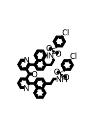 O=C(c1cccnc1-c1ccc(CCNS(=O)(=O)c2ccc(Cl)cc2)c2ccccc12)c1cccnc1-c1ccc(CCNS(=O)(=O)c2ccc(Cl)cc2)c2ccccc12